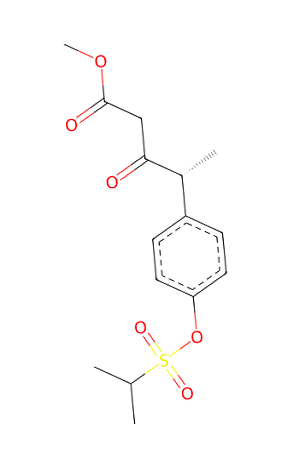 COC(=O)CC(=O)[C@H](C)c1ccc(OS(=O)(=O)C(C)C)cc1